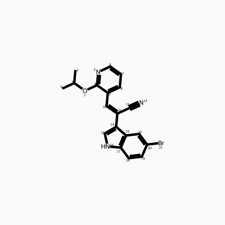 CC(C)Oc1ncccc1C=C(C#N)c1c[nH]c2ccc(Br)cc12